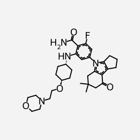 CC1(C)CC(=O)c2c3c(n(-c4cc(F)c(C(N)=O)c(N[C@H]5CC[C@H](OCCN6CCOCC6)CC5)c4)c2C1)CCC3